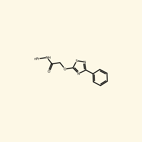 CCCNC(=O)COc1nc(-c2ccccc2)ns1